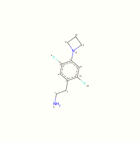 NCCc1cc(F)c(N2C[CH]C2)cc1F